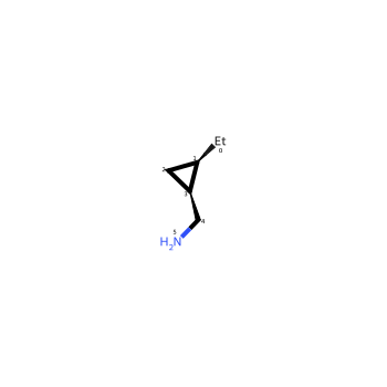 CC[C@@H]1C[C@@H]1CN